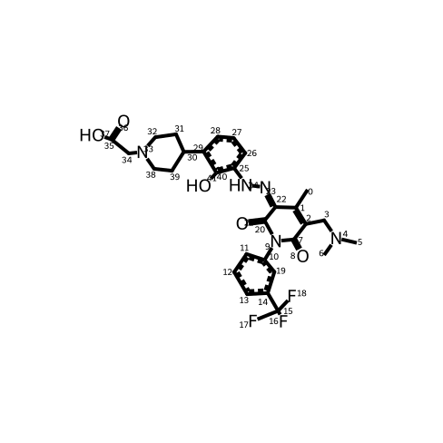 CC1=C(CN(C)C)C(=O)N(c2cccc(C(F)(F)F)c2)C(=O)C1=NNc1cccc(C2CCN(CC(=O)O)CC2)c1O